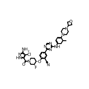 CC1CC(Nc2ncnc(-c3ccc(O[C@H]4CCN(C(=O)c5[nH]nc(N)c5Cl)C[C@H]4F)c(C#N)c3)n2)=CC=C1N1CCN(C2COC2)CC1